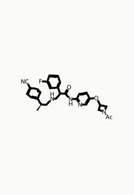 CC(=O)N1CC(Oc2ccc(NC(=O)C(CNC[C@@H](C)c3ccc(C#N)cc3)c3cccc(F)c3)nc2)C1